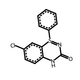 O=C1N=S(c2ccccc2)c2cc(Cl)ccc2N1